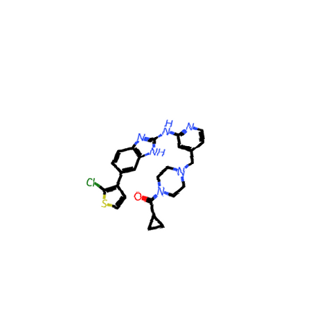 O=C(C1CC1)N1CCN(Cc2ccnc(Nc3nc4ccc(-c5ccsc5Cl)cc4[nH]3)c2)CC1